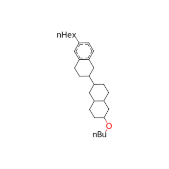 CCCCCCc1ccc2c(c1)CCC(C1CCC3CC(OCCCC)CCC3C1)C2